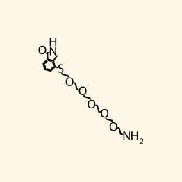 NCCOCCOCCOCCOCCOCCSc1cccc2c1CNC2=O